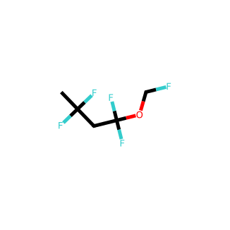 CC(F)(F)CC(F)(F)OCF